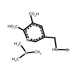 CN(C)C.O=C(O)c1cc(CNBr)cnc1C(=O)O